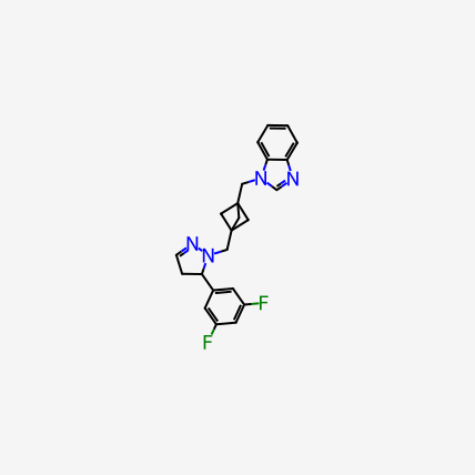 Fc1cc(F)cc(C2CC=NN2CC23CC(Cn4cnc5ccccc54)(C2)C3)c1